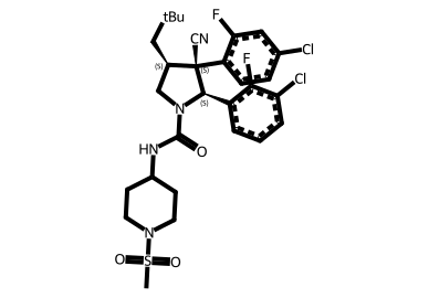 CC(C)(C)C[C@@H]1CN(C(=O)NC2CCN(S(C)(=O)=O)CC2)[C@H](c2cccc(Cl)c2F)[C@@]1(C#N)c1ccc(Cl)cc1F